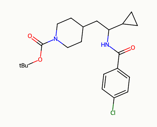 CC(C)(C)OC(=O)N1CCC(CC(NC(=O)c2ccc(Cl)cc2)C2CC2)CC1